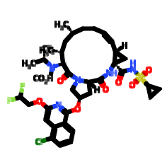 C[C@@H]1CC/C=C\[C@@H]2C[C@@]2(C(=O)NS(=O)(=O)C2CC2)NC(=O)[C@@H]2C[C@@H](Oc3nc(OCC(F)F)cc4c(Cl)cccc34)CN2C(=O)[C@@H](N(C(=O)O)[C@H](C)C(F)(F)F)[C@H](C)C1